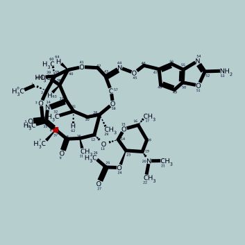 CC[C@H]1OC(=O)[C@H](C)C(=O)[C@H](C)[C@@H](O[C@@H]2O[C@H](C)C[C@H](N(C)C)[C@H]2OC(C)=O)[C@@]2(C)C[C@@H](C)/C(=N\C(C)=O)[C@H](C)[C@@H](OCC(=NOCc3ccc4oc(N)nc4c3)CO2)[C@]1(C)O